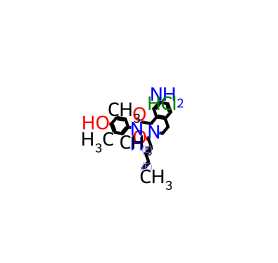 C/C=C/C=C/C(=O)N1CCc2ccc(N)cc2C1C(=O)Nc1cc(C)c(O)c(C)c1C.Cl